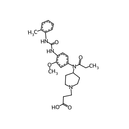 CCC(=O)N(c1ccc(NC(=O)Nc2ccccc2C)c(OC)c1)C1CCN(CCC(=O)O)CC1